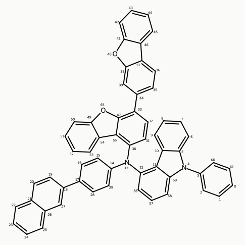 c1ccc(-n2c3ccccc3c3c(N(c4ccc(-c5ccc6ccccc6c5)cc4)c4ccc(-c5ccc6c(c5)oc5ccccc56)c5oc6ccccc6c45)cccc32)cc1